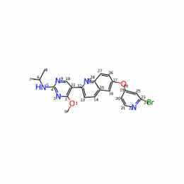 COc1nc(NC(C)C)ncc1-c1ccc2cc(Oc3ccnc(Br)c3)ccc2n1